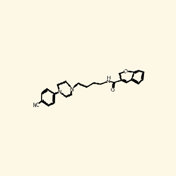 N#Cc1ccc(N2CCN(CCCCNC(=O)C3=Cc4ccccc4OC3)CC2)cc1